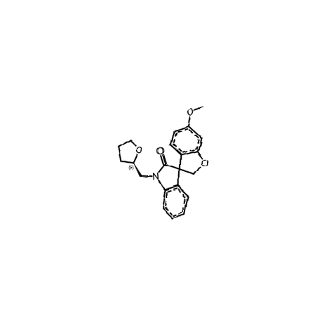 COc1ccc2c(c1)OCC21C(=O)N(C[C@H]2CCCO2)c2ccccc21